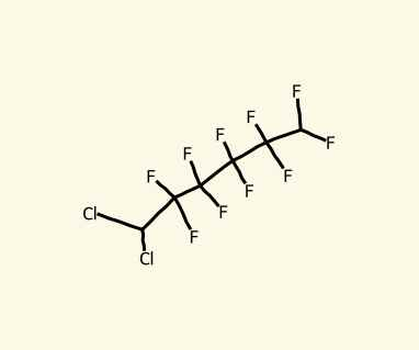 FC(F)C(F)(F)C(F)(F)C(F)(F)C(F)(F)C(Cl)Cl